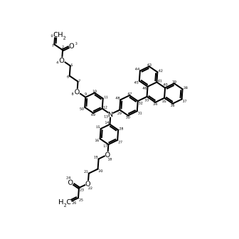 C=CC(=O)OCCCOc1ccc(N(c2ccc(OCCCOC(=O)C=C)cc2)c2ccc(-c3cc4ccccc4c4ccccc34)cc2)cc1